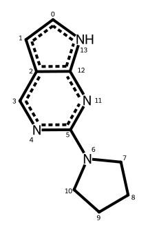 c1cc2cnc(N3CCCC3)nc2[nH]1